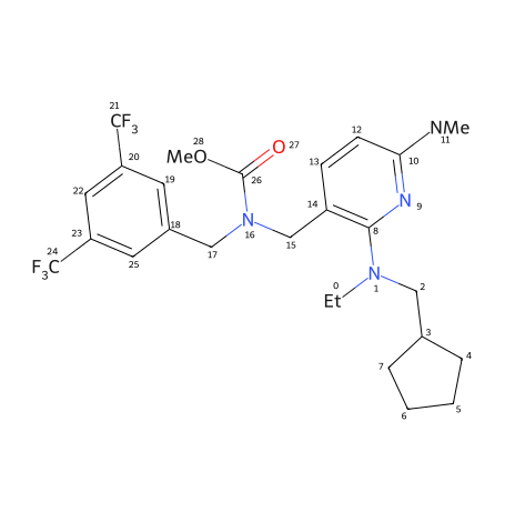 CCN(CC1CCCC1)c1nc(NC)ccc1CN(Cc1cc(C(F)(F)F)cc(C(F)(F)F)c1)C(=O)OC